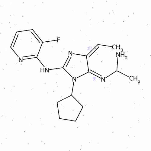 C/C=C1/N=C(Nc2ncccc2F)N(C2CCCC2)/C1=N/C(C)N